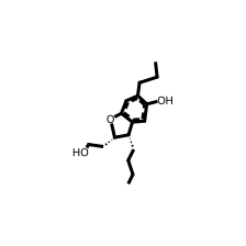 CCCC[C@H]1c2cc(O)c(CCC)cc2O[C@H]1CCO